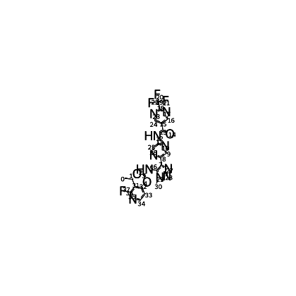 C[C@@H](OC(=O)Nc1c(-c2cnc(NC(=O)c3cnc(C(F)(F)F)nc3)cn2)nnn1C)c1cccnc1F